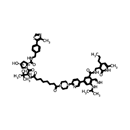 CCCc1cc(C)[nH]c(=O)c1CNC(=O)c1cc(-c2ccc(N3CCN(C(=O)CCCCCCC(=O)N[C@H](C(=O)N4C[C@H](O)C[C@H]4C(=O)NCc4ccc(-c5scnc5C)cc4)C(C)(C)C)CC3)nc2)cc(NC(C)C)c1C=N